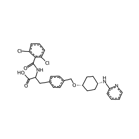 O=C(NC(Cc1ccc(CO[C@H]2CC[C@@H](Nc3ccccn3)CC2)cc1)C(=O)O)c1c(Cl)cccc1Cl